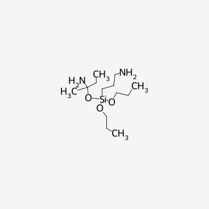 CCCO[Si](CCCN)(OCCC)OC(C)(N)CC